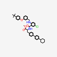 COC(=O)C(Cc1ccc(-c2ccc(C3CCCCC3)cc2)cc1)NC(=O)c1cc(Cl)ccc1NCc1cccc(Oc2ccc(C(C)(C)C)cc2)c1